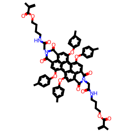 C=C(C)C(=O)OCCCCNC(=O)CN1C(=O)c2cc(Oc3ccc(C)cc3)c3c4c(Oc5ccc(C)cc5)cc5c6c(cc(Oc7ccc(C)cc7)c(c7c(Oc8ccc(C)cc8)cc(c2c37)C1=O)c64)C(=O)N(CC(=O)NCCCCOC(=O)C(=C)C)C5=O